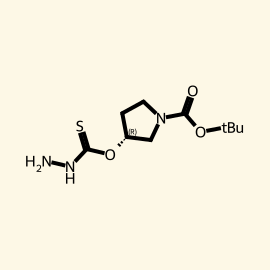 CC(C)(C)OC(=O)N1CC[C@@H](OC(=S)NN)C1